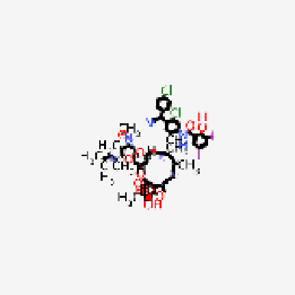 CO/N=C1/C[C@]2(C[C@@H]3C[C@@H](C/C=C(\C)C[C@@H](C)/C=C/C=C4\CO[C@@H]5[C@H](O)C(C)=C[C@@H](C(=O)O3)[C@]45O)O2)O[C@H](/C(C)=C/C(C)C)[C@H]1C.Cc1cc(C(C#N)c2ccc(Cl)cc2)c(Cl)cc1NC(=O)c1cc(I)cc(I)c1O